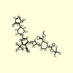 COC(=O)C1CN(C(=O)OC(C)(C)C)CCN1C1CN(c2cc(N3CCC(c4c(C)cnn4C)CC3)nc(C(F)(F)F)c2C#N)C1